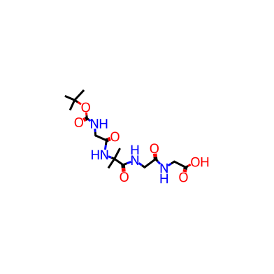 CC(C)(C)OC(=O)NCC(=O)NC(C)(C)C(=O)NCC(=O)NCC(=O)O